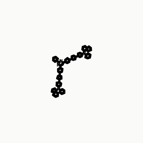 c1ccc(-c2nc(-c3ccc(-c4ccc(-c5ccc(N(c6ccccc6)c6cccc7ccccc67)cc5)cc4)cc3)cc(-c3ccc(-c4ccc(-c5ccc(N(c6ccccc6)c6cccc7ccccc67)cc5)cc4)cc3)n2)cc1